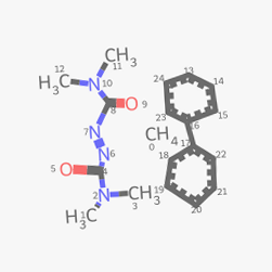 C.CN(C)C(=O)N=NC(=O)N(C)C.c1ccc(-c2ccccc2)cc1